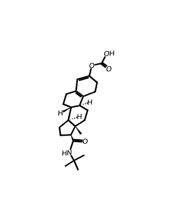 CC(C)(C)NC(=O)[C@H]1CC[C@H]2[C@@H]3CCC4=C(CCC(OC(=O)O)=C4)[C@H]3CC[C@]12C